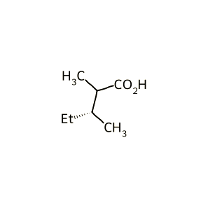 CC[C@@H](C)C(C)C(=O)O